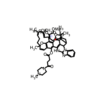 COC(=O)/C(C)=C\CC12OC(C)(C)C3CC(C1=O)C1C4=C(Nc5nc6ccccc6n51)c1c(OC(=O)CCC(=O)N5CCN(C)CC5)c5c(c(CC=C(C)C)c1OC432)OC(C)(CCC=C(C)C)C=C5